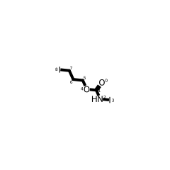 O=C(NI)OCCCI